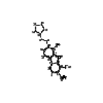 CCCc1ccc2c(oc3c(F)c(CCC4CCCC4)ccc32)c1F